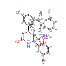 O=C1C[C@@H](c2cccc(Cl)c2)[C@]2(C(=O)Nc3cc(Cl)ccc32)[C@@H](c2cc(Br)ccc2OCc2ccc(F)cc2)N1